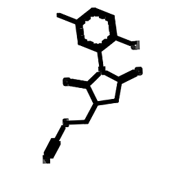 Cc1ccc(Cl)c(N2C(=O)CC(CSC#N)C2=O)c1